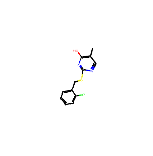 Cc1cnc(SCc2ccccc2Cl)nc1O